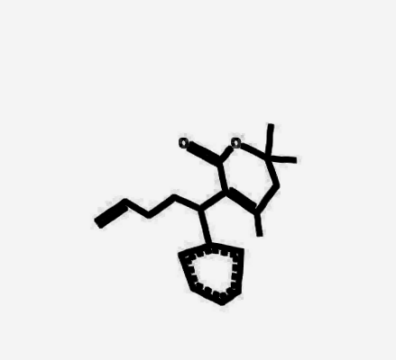 C=CCCC(C1=C(C)CC(C)(C)OC1=O)c1ccccc1